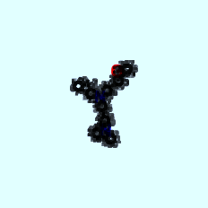 CC1(C)c2ccccc2-c2ccc(N(c3ccc(-c4ccc5c(c4)oc4ccccc45)cc3)c3ccc(-c4ccc5c(c4)c4cccc6c7ccccc7n5c64)cc3)cc21